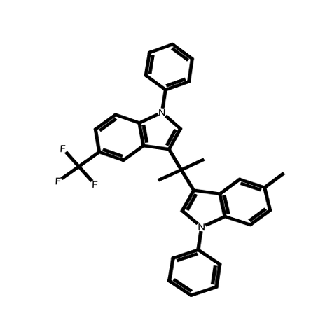 Cc1ccc2c(c1)c(C(C)(C)c1cn(-c3ccccc3)c3ccc(C(F)(F)F)cc13)cn2-c1ccccc1